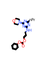 CCCc1nc(NCC=COC(=O)Oc2ccccc2)nc(N2CCOCC2)n1